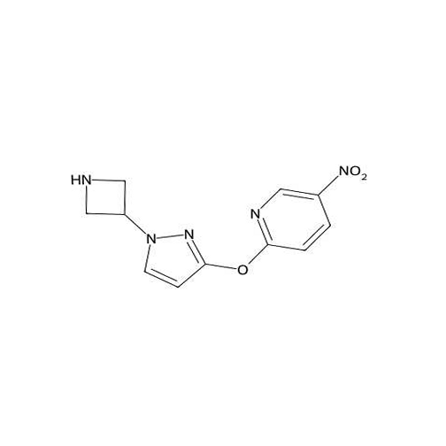 O=[N+]([O-])c1ccc(Oc2ccn(C3CNC3)n2)nc1